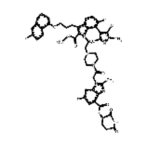 Cc1nn(C)c(C)c1-c1c(Cl)ccc2c(CCCOc3cccc4cc(F)ccc34)c(C(=O)OC(C)(C)C)n(CCN3CCN(C(=O)Cn4c(C)nc5c(C(=O)NC6CCC(=O)NC6=O)cc(F)cc54)CC3)c12